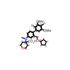 COc1cc(-c2ccc(N(C)C3(C(=O)O)CCOCC3)cc2COC2CCCC2)c(F)c(OC)c1C